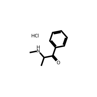 CNC(C)C(=O)c1ccccc1.Cl